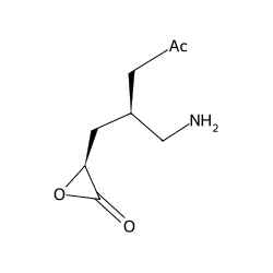 CC(=O)C[C@@H](CN)C[C@@H]1OC1=O